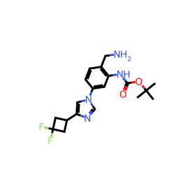 CC(C)(C)OC(=O)Nc1cc(-n2cnc(C3CC(F)(F)C3)c2)ccc1CN